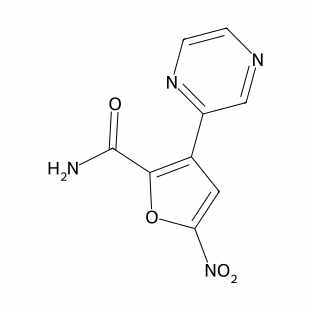 NC(=O)c1oc([N+](=O)[O-])cc1-c1cnccn1